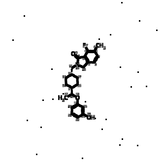 Cc1ccc2c(c1F)C(=O)N(C[C@H]1CC[C@H](C(C)Oc3cccc(O)c3)CC1)C2